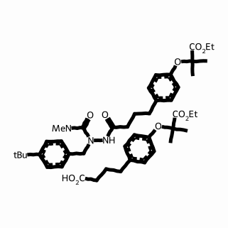 CCOC(=O)C(C)(C)Oc1ccc(CCCC(=O)NN(Cc2ccc(C(C)(C)C)cc2)C(=O)NC)cc1.CCOC(=O)C(C)(C)Oc1ccc(CCCC(=O)O)cc1